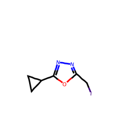 ICc1nnc(C2CC2)o1